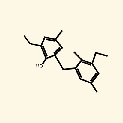 CCc1cc(C)cc(Cc2cc(C)cc(CC)c2O)c1C